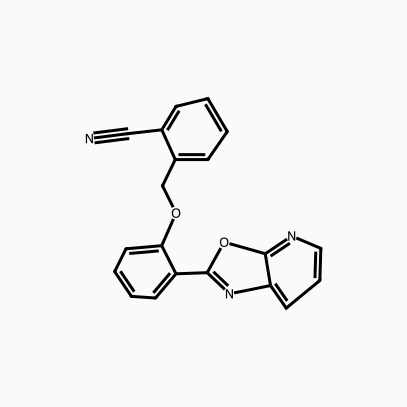 N#Cc1ccccc1COc1ccccc1-c1nc2cccnc2o1